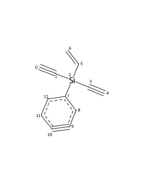 C#C[Si](C#C)(C=C)c1cc#ccc1